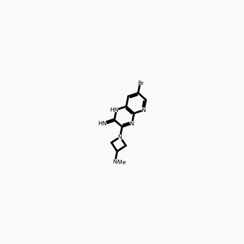 CNC1CN(c2nc3ncc(Br)cc3[nH]c2=N)C1